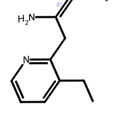 CCc1cccnc1C/C(N)=C\N